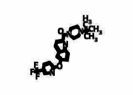 CC(C)(C)N1CCN(C(=O)c2ccc3cc(Oc4ccc(C(F)(F)F)cn4)ccc3n2)CC1